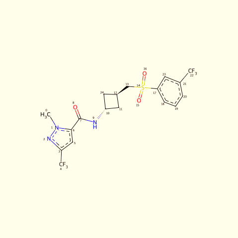 Cn1nc(C(F)(F)F)cc1C(=O)N[C@H]1C[C@H](CS(=O)(=O)c2cccc(C(F)(F)F)c2)C1